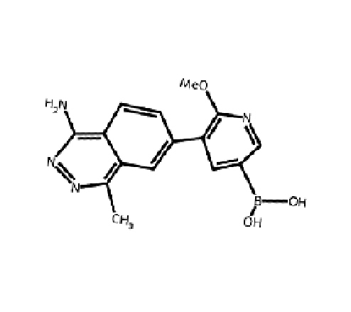 COc1ncc(B(O)O)cc1-c1ccc2c(N)nnc(C)c2c1